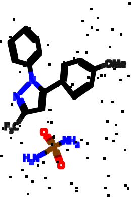 COc1ccc(-c2cc(C(F)(F)F)nn2-c2ccccc2)cc1.NS(N)(=O)=O